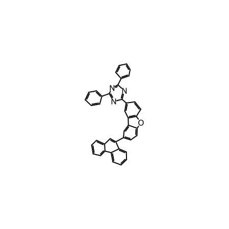 c1ccc(-c2nc(-c3ccccc3)nc(-c3ccc4oc5ccc(-c6cc7ccccc7c7ccccc67)cc5c4c3)n2)cc1